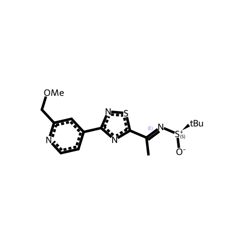 COCc1cc(-c2nsc(/C(C)=N/[S@+]([O-])C(C)(C)C)n2)ccn1